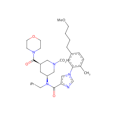 COCCCCc1ccc(C)c(-n2cnc(C(=O)N(CC(C)C)[C@H]3C[C@@H](C(=O)N4CCOCC4)CN(C(=O)O)C3)c2)c1